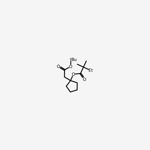 CCC(C)(C)C(=O)OC1(CC(=O)OC(C)(C)C)CCCC1